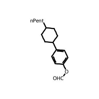 CCCCCC1CCC(c2ccc(OC=O)cc2)CC1